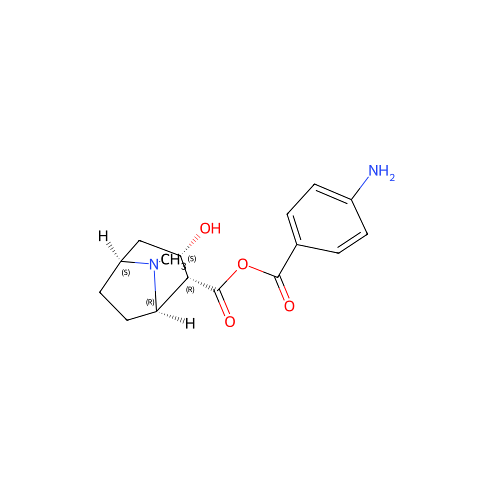 CN1[C@H]2CC[C@@H]1[C@@H](C(=O)OC(=O)c1ccc(N)cc1)[C@@H](O)C2